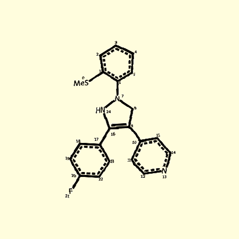 CSc1ccccc1N1CC(c2ccncc2)=C(c2ccc(F)cc2)N1